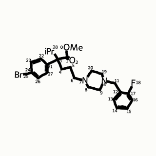 COC(=O)C(CCCN1CCN(Cc2ccccc2F)CC1)(c1ccc(Br)cc1)C(C)C